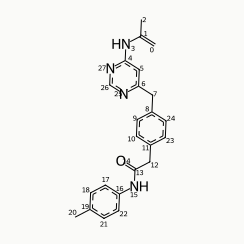 C=C(C)Nc1cc(Cc2ccc(CC(=O)Nc3ccc(C)cc3)cc2)ncn1